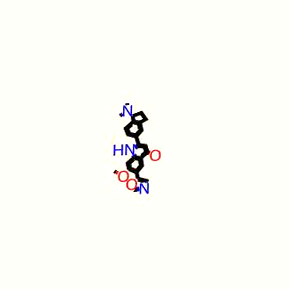 COc1cc2[nH]c(-c3ccc4c(c3)CCC4N(C)C)cc(=O)c2cc1-c1cnco1